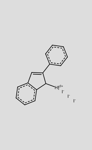 [Hf+3][CH]1C(c2ccccc2)=Cc2ccccc21.[I-].[I-].[I-]